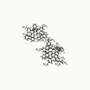 Cc1cc(C)c(B2c3c(c4c(c5cc6ccccc6cc35)B(c3c(C)cc(C)cc3C)n3c5ccc(CC(C)(C)c6ccc7c(c6)c6cc(C(C)(C)C)cc8c6n7B(c6c(C)cc(C)cc6C)c6c-8c7c(c8cc9ccccc9cc68)B(c6c(C)cc(C)cc6C)n6c8ccc(C(C)(C)C)cc8c8cc(C(C)(C)C)cc-7c86)cc5c5cccc-4c53)-c3cccc4c5ccccc5n2c34)c(C)c1